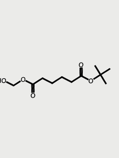 CC(C)(C)OC(=O)CCCCC(=O)OCO